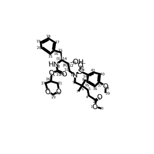 COC(=O)CCC(C)(C)CN(C[C@@H](O)[C@H](Cc1ccccc1)NC(=O)OC1COCOC1)[S+]([O-])c1ccc(OC)cc1